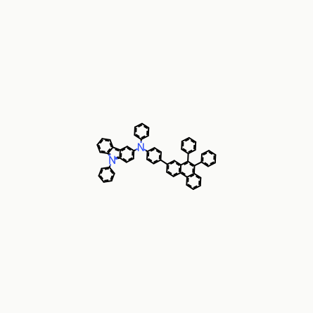 c1ccc(-c2c(-c3ccccc3)c3cc(-c4ccc(N(c5ccccc5)c5ccc6c(c5)c5ccccc5n6-c5ccccc5)cc4)ccc3c3ccccc23)cc1